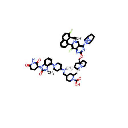 C#Cc1c(F)ccc2cccc(-c3ncc4c(N5CC6CCC(C5)N6)nc(OC[C@@]56CCCN5[C@H](CC5CC(CN(C)C7CCN(c8cccc9c8n(C)c(=O)n9C8CCC(=O)NC8=O)CC7)CCN5C(=O)O)CC6)nc4c3F)c12